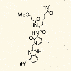 COCCC(=O)N[C@@H](CC/C=C/C(=O)N(C)C)C(=O)Nc1cccn(Cc2nc3c(CC(C)C)cccc3[nH]2)c1=O